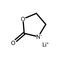 O=C1[N-]CCO1.[Li+]